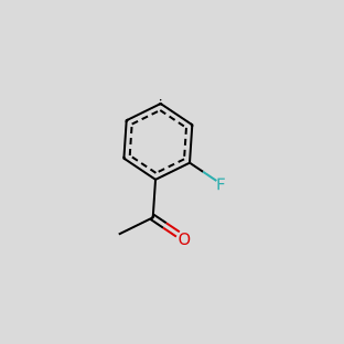 CC(=O)c1cc[c]cc1F